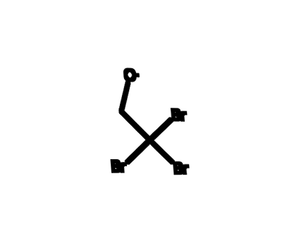 [O]CC(Br)(Br)Br